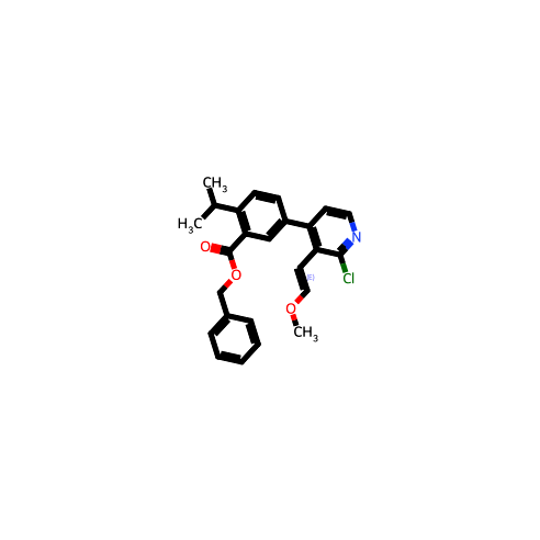 CO/C=C/c1c(-c2ccc(C(C)C)c(C(=O)OCc3ccccc3)c2)ccnc1Cl